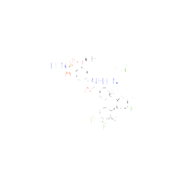 COc1cc(NC(=O)c2ccc(-c3ccc(F)cc3-c3ccc(F)c(F)c3F)c(CNCC(F)F)c2)ccc1S(N)(=O)=O